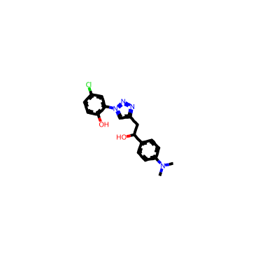 CN(C)c1ccc(C(O)Cc2cn(-c3cc(Cl)ccc3O)nn2)cc1